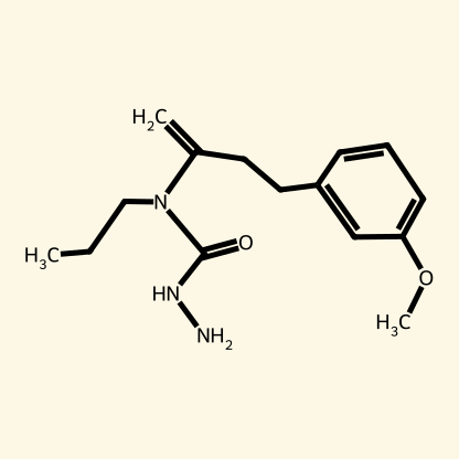 C=C(CCc1cccc(OC)c1)N(CCC)C(=O)NN